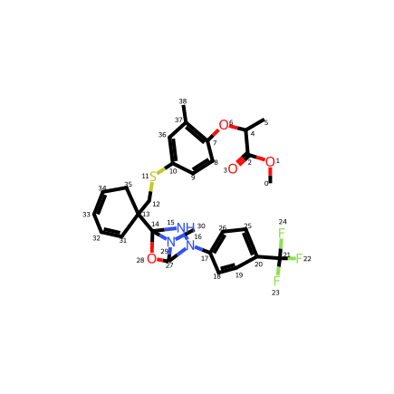 COC(=O)C(C)Oc1ccc(SCC2(C34NN(c5ccc(C(F)(F)F)cc5)C(O3)N4C)C=CC=CC2)cc1C